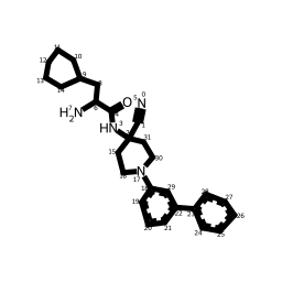 N#CC1(NC(=O)C(N)CC2CCCCC2)CCN(c2cccc(-c3ccccc3)c2)CC1